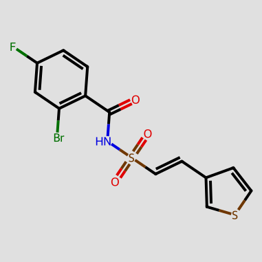 O=C(NS(=O)(=O)C=Cc1ccsc1)c1ccc(F)cc1Br